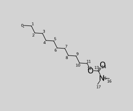 [CH2]CCCCCCCCCCCOC(=O)N(C)C